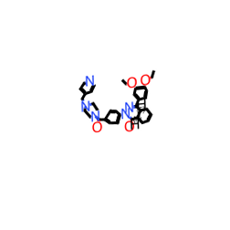 CCOc1ccc(C2=NN(c3ccc(C(=O)N4CCN(Cc5ccncc5)CC4)cc3)C(=O)[C@@H]3CC=CC[C@H]23)cc1OCC